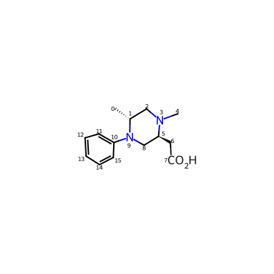 C[C@@H]1CN(C)[C@@H](CC(=O)O)CN1c1ccccc1